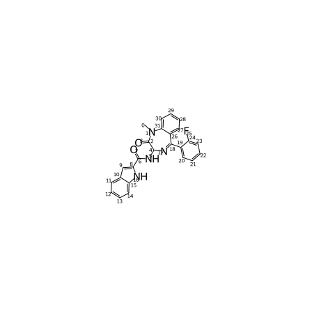 CN1C(=O)C(NC(=O)c2cc3ccccc3[nH]2)N=C(c2ccccc2F)c2ccccc21